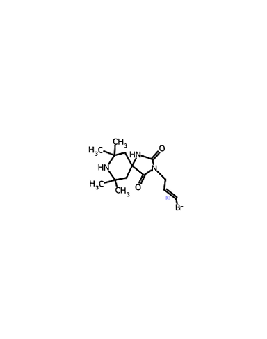 CC1(C)CC2(CC(C)(C)N1)NC(=O)N(C/C=C/Br)C2=O